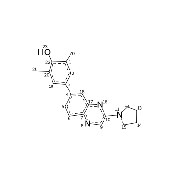 Cc1cc(-c2ccc3ncc(N4CCCC4)nc3c2)cc(C)c1O